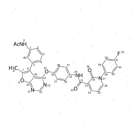 CC(=O)Nc1cccc(-c2c(C)oc3ncnc(Oc4ccc(NC(=O)c5cccn(-c6ccc(F)cc6)c5=O)cc4)c23)c1